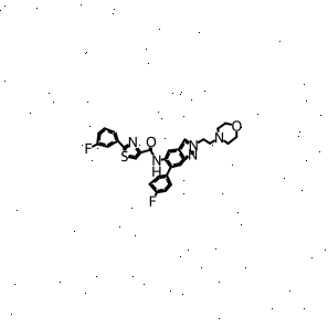 O=C(Nc1cc2cn(CCN3CCOCC3)nc2cc1-c1ccc(F)cc1)c1csc(-c2cccc(F)c2)n1